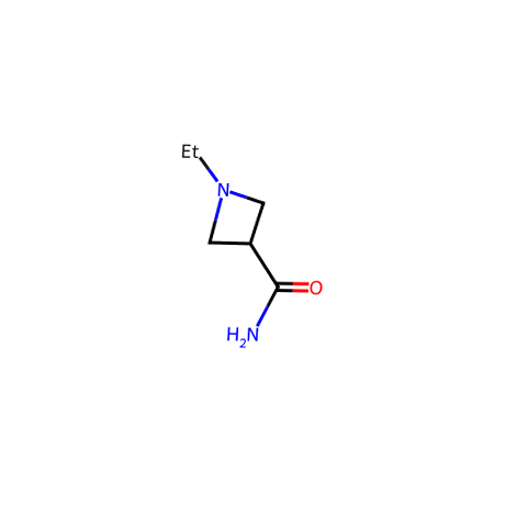 CCN1CC(C(N)=O)C1